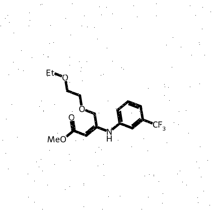 CCOCCOC/C(=C\C(=O)OC)Nc1cccc(C(F)(F)F)c1